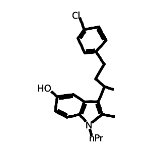 CCCn1c(C)c(C(C)CCc2ccc(Cl)cc2)c2cc(O)ccc21